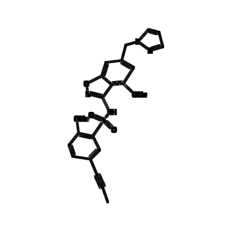 CC#Cc1ccc(OC)c(S(=O)(=O)Nc2noc3cc(Cn4cccn4)cc(OC)c23)c1